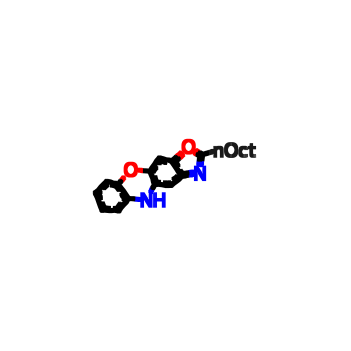 CCCCCCCCc1nc2cc3c(cc2o1)Oc1ccccc1N3